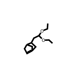 CCOC(CC1CC2=CCC1C2)OCC